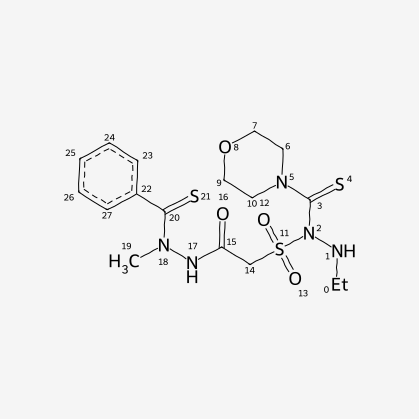 CCNN(C(=S)N1CCOCC1)S(=O)(=O)CC(=O)NN(C)C(=S)c1ccccc1